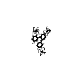 FC(F)(F)Oc1cccc(-c2ccc(OC(F)(F)F)cc2-c2ccccc2OC(F)(F)F)c1